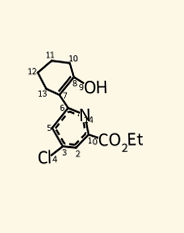 CCOC(=O)c1cc(Cl)cc(C2=C(O)CCCC2)n1